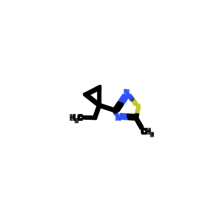 CCC1(c2nsc(C)n2)CC1